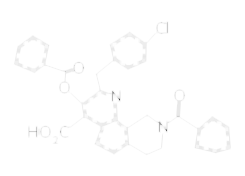 O=C(Oc1c(Cc2ccc(Cl)cc2)nc2c3c(ccc2c1C(=O)O)CCN(C(=O)c1ccccc1)C3)c1ccccc1